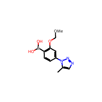 COCOc1cc(-n2nncc2C)ccc1B(O)O